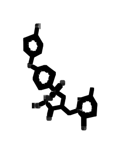 Cc1ccc(=O)n(CC(CS(=O)(=O)c2ccc(Oc3ccc(Cl)cc3)cc2)C(=O)NO)n1